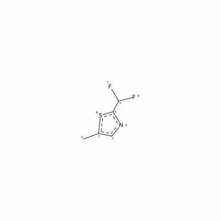 Cc1cnc(C(F)F)s1